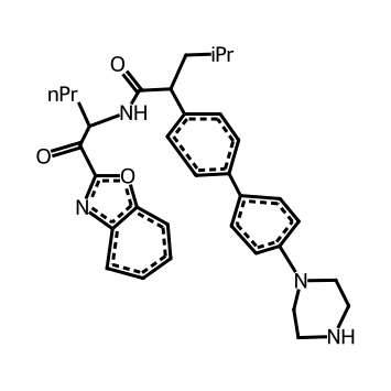 CCCC(NC(=O)C(CC(C)C)c1ccc(-c2ccc(N3CCNCC3)cc2)cc1)C(=O)c1nc2ccccc2o1